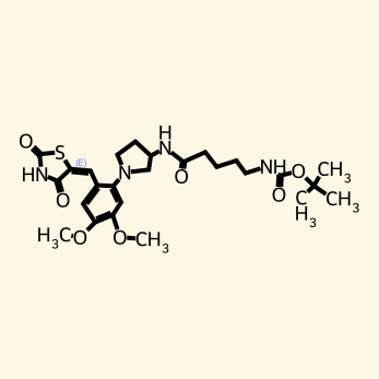 COc1cc(/C=C2/SC(=O)NC2=O)c(N2CCC(NC(=O)CCCCNC(=O)OC(C)(C)C)C2)cc1OC